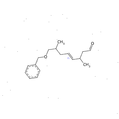 CC(/C=C/CC(C)COCc1ccccc1)CC=O